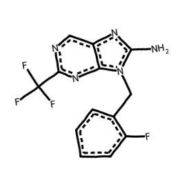 Nc1nc2cnc(C(F)(F)F)nc2n1Cc1ccccc1F